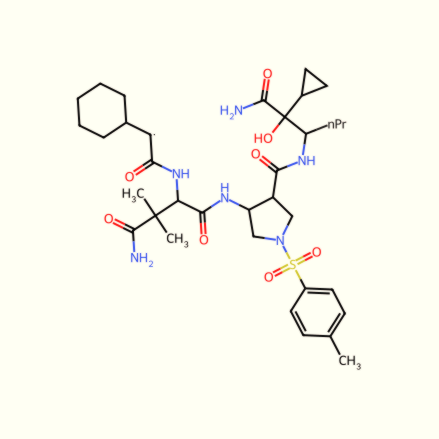 CCCC(NC(=O)C1CN(S(=O)(=O)c2ccc(C)cc2)CC1NC(=O)C(NC(=O)[CH]C1CCCCC1)C(C)(C)C(N)=O)C(O)(C(N)=O)C1CC1